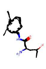 Cc1ccc(NC(=O)C(N)C(C)O)c(C)c1